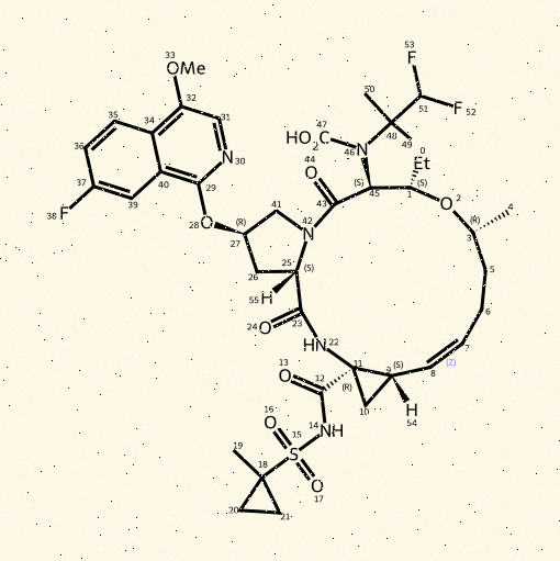 CC[C@@H]1O[C@H](C)CC/C=C\[C@@H]2C[C@@]2(C(=O)NS(=O)(=O)C2(C)CC2)NC(=O)[C@@H]2C[C@@H](Oc3ncc(OC)c4ccc(F)cc34)CN2C(=O)[C@H]1N(C(=O)O)C(C)(C)C(F)F